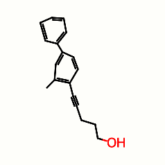 Cc1cc(-c2ccccc2)ccc1C#CCCCO